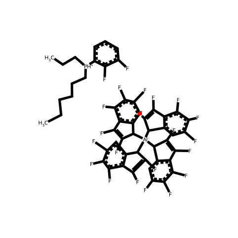 CCCCCC[PH+](CCC)c1cccc(F)c1F.FC1=C(F)[CH]([Al-]([CH]2C(F)=C(F)c3c2cc(F)c(F)c3F)([CH]2C(F)=C(F)c3c2cc(F)c(F)c3F)[CH]2C(F)=C(F)c3c2cc(F)c(F)c3F)c2cc(F)c(F)c(F)c21